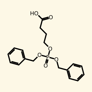 O=C(O)CCCOP(=O)(OCc1ccccc1)OCc1ccccc1